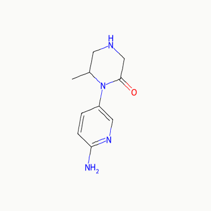 CC1CNCC(=O)N1c1ccc(N)nc1